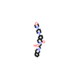 O=C1c2ccc(N3CCC(N4CCOCC4)CC3)cc2CCN1C[C@H](O)CN1CCc2ccccc2C1